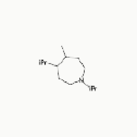 CC(C)C1CCN(C(C)C)CCC1C